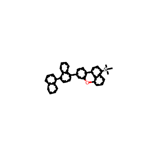 C[Si](C)(C)c1ccc2c3c(cccc13)Oc1cc(-c3ccc(-c4cccc5ccccc45)c4ccccc34)ccc1-2